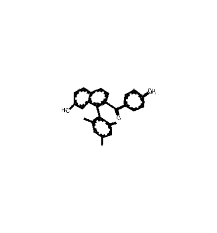 Cc1cc(C)c(-c2c(C(=O)c3ccc(O)cc3)ccc3ccc(O)cc23)c(C)c1